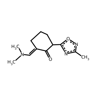 Cc1noc(C2CCCC(=CN(C)C)C2=O)n1